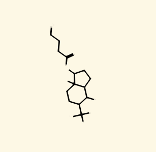 CCCC(C)(C)C1CCC2(C)C(OC(=O)CCCBr)CCC2C1C